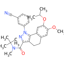 COc1cc2c(cc1OC(C)C)-c1c(c(C(=O)N(C)C(C)(C)C)nn1-c1cccc(C#N)c1)CC2